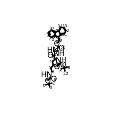 CC(C)(C)OC(=O)NCCCCC(NC(=O)OC(C)(C)C)C(=O)NNC(=O)OCC1c2ccccc2-c2ccccc21